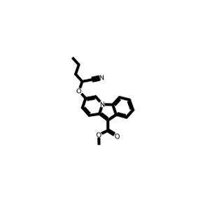 CCCC(C#N)Oc1ccc2c(C(=O)OC)c3ccccc3n2c1